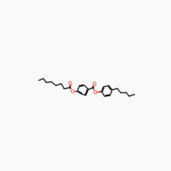 CCCCCCCC(=O)Oc1ccc(C(=O)Oc2ccc(CCCCC)cc2)cc1